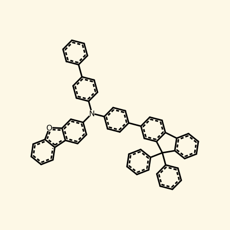 c1ccc(-c2ccc(N(c3ccc(-c4ccc5c(c4)C(c4ccccc4)(c4ccccc4)c4ccccc4-5)cc3)c3ccc4c(c3)oc3ccccc34)cc2)cc1